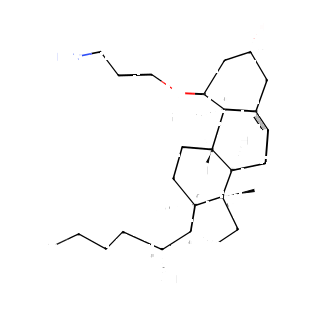 CC(C)CCC[C@@H](C)[C@H]1CC[C@H]2[C@@H]3CC=C4C[C@@H](O)CC(OCCCN)[C@]4(C)[C@H]3CC[C@]12C